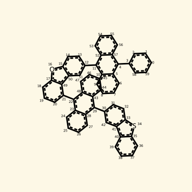 c1ccc(-c2c3ccccc3c(-c3ccc4oc5cccc(-c6c7ccccc7c(-c7ccc8sc9ccccc9c8c7)c7ccccc67)c5c4c3)c3ccccc23)cc1